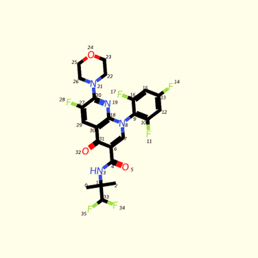 CC(C)(NC(=O)c1cn(-c2c(F)cc(F)cc2F)c2nc(N3CCOCC3)c(F)cc2c1=O)C(F)F